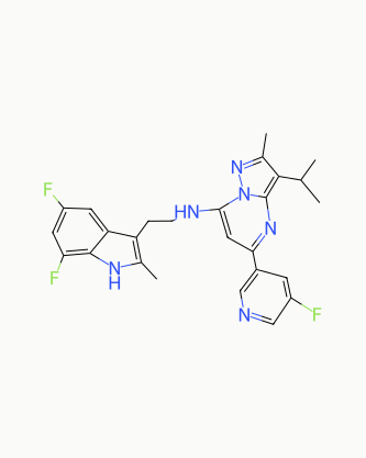 Cc1nn2c(NCCc3c(C)[nH]c4c(F)cc(F)cc34)cc(-c3cncc(F)c3)nc2c1C(C)C